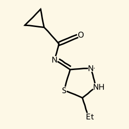 CCC1N[N]C(=NC(=O)C2CC2)S1